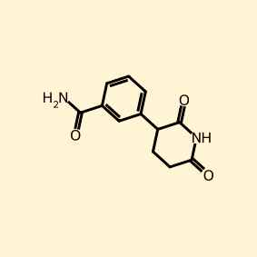 NC(=O)c1cccc(C2CCC(=O)NC2=O)c1